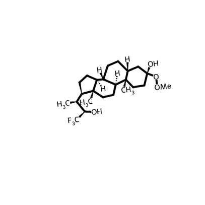 COO[C@]1(O)CC[C@@]2(C)[C@H](CC[C@@H]3[C@@H]2CC[C@]2(C)[C@@H]([C@H](C)[C@@H](O)C(F)(F)F)CC[C@@H]32)C1